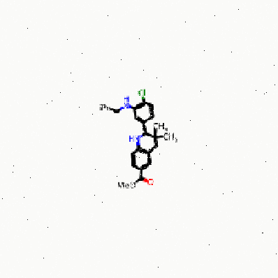 COC(=O)c1ccc2c(c1)CC(C)(C)C(c1ccc(Cl)c(NCC(C)C)c1)N2